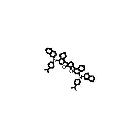 CC(C)c1ccc(N(c2ccc3ccccc3c2)c2cc3oc4c(ccc5c4oc4cc(N(c6ccc(C(C)C)cc6)c6ccc7ccccc7c6)c6ccccc6c45)c3c3ccccc23)cc1